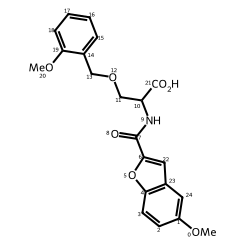 COc1ccc2oc(C(=O)NC(COCc3ccccc3OC)C(=O)O)cc2c1